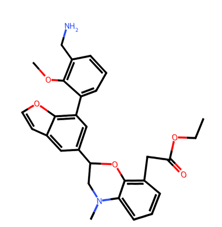 CCOC(=O)Cc1cccc2c1OC(c1cc(-c3cccc(CN)c3OC)c3occc3c1)CN2C